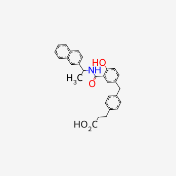 CC(NC(=O)c1cc(Cc2ccc(CCC(=O)O)cc2)ccc1O)c1ccc2ccccc2c1